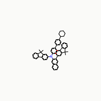 CC1(C)c2ccccc2-c2ccc(-c3cc4ccccc4cc3N(c3ccc(-c4ccc(C5CCCCC5)cc4)cc3)c3ccc4c(c3)C(C)(C)c3ccccc3-4)cc21